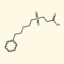 O=C(O)CCS(=O)(=O)CCOCCc1ccccc1